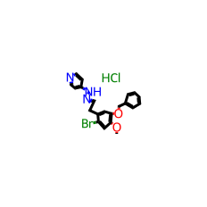 COc1cc(Br)c(C/C=N/Nc2ccncc2)cc1OCc1ccccc1.Cl